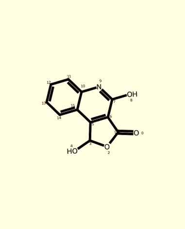 O=C1OC(O)c2c1c(O)nc1ccccc21